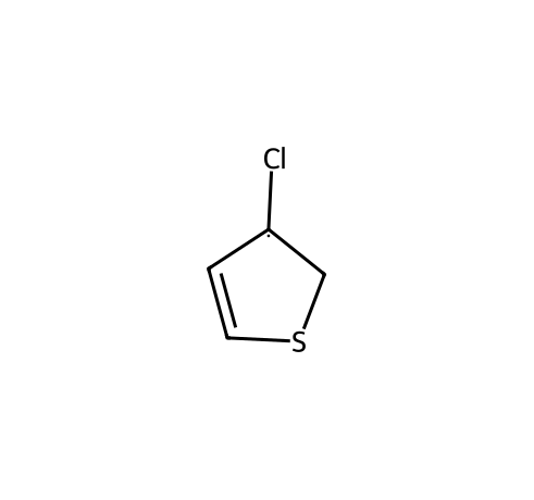 Cl[C]1C=CSC1